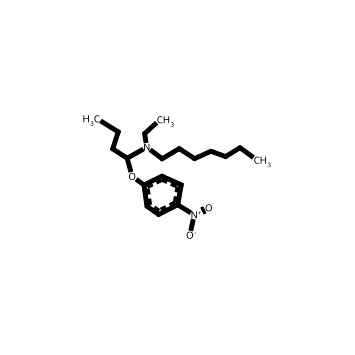 CCCCCCCN(CC)C(CCC)Oc1ccc([N+](=O)[O-])cc1